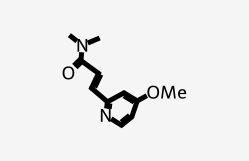 COc1ccnc(C=CC(=O)N(C)C)c1